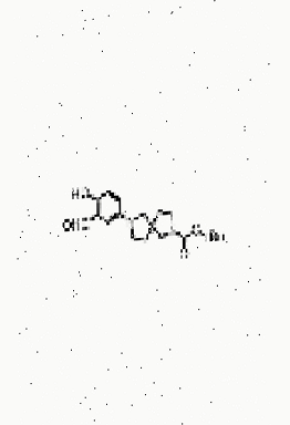 CC(C)(C)OC(=O)N1CCC2(CCN(c3ccc(O)c(C=O)c3)C2)C1